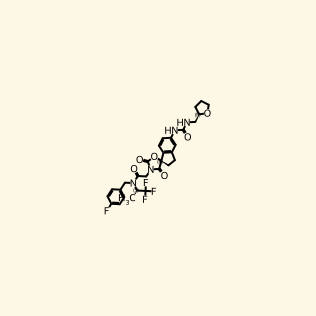 C[C@H](N(Cc1ccc(F)cc1)C(=O)CN1C(=O)O[C@@]2(CCc3cc(NC(=O)NC[C@H]4CCCO4)ccc32)C1=O)C(F)(F)F